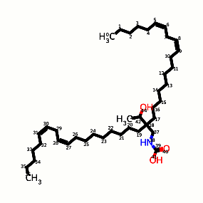 CCCCC/C=C\C/C=C\CCCCCCCCC(CCCCCCCC/C=C\C/C=C\CCCCC)(CNC(=O)O)C(C)O